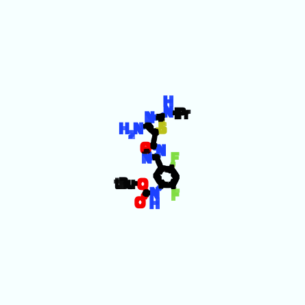 CC(C)Nc1nc(N)c(-c2nc(-c3cc(NC(=O)OC(C)(C)C)c(F)cc3F)no2)s1